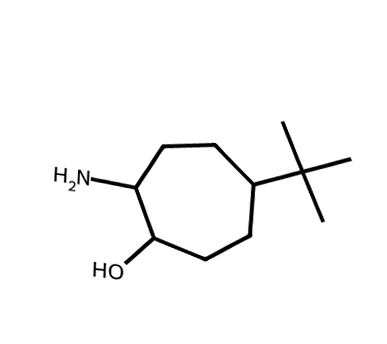 CC(C)(C)C1CCC(N)C(O)CC1